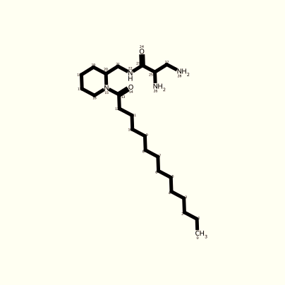 CCCCCCCCCCCCCC(=O)N1CCCCC1CNC(=O)C(N)CN